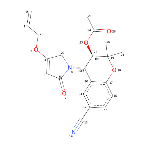 C=CCOC1=CC(=O)N([C@H]2c3cc(C#N)ccc3OC(C)(C)[C@@H]2OC(C)=O)C1